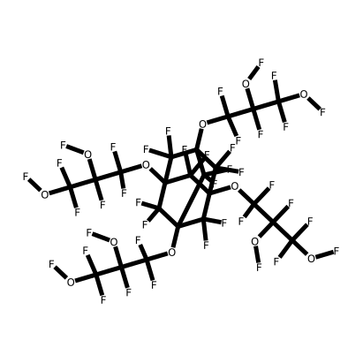 FOC(F)(F)C(F)(OF)C(F)(F)OC12C(F)(F)C3(OC(F)(F)C(F)(OF)C(F)(F)OF)C(F)(F)C(OC(F)(F)C(F)(OF)C(F)(F)OF)(C1(F)F)C(F)(F)C(OC(F)(F)C(F)(OF)C(F)(F)OF)(C2(F)F)C3(F)F